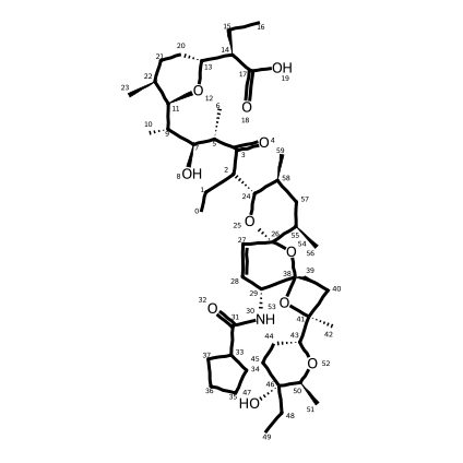 CCC(C(=O)[C@@H](C)[C@@H](O)[C@H](C)[C@@H]1O[C@@H]([C@@H](CC)C(=O)O)CC[C@@H]1C)[C@H]1O[C@]2(C=C[C@@H](NC(=O)C3CCCC3)[C@]3(CC[C@@](C)([C@H]4CC[C@](O)(CC)[C@H](C)O4)O3)O2)[C@H](C)C[C@@H]1C